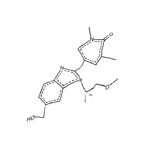 COC[C@H](C)n1c(-c2cc(C)c(=O)n(C)c2)nc2ccc(CO)cc21